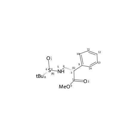 COC(=O)[C@H](CN[S@@+]([O-])C(C)(C)C)c1ccccc1